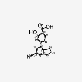 N#Cc1cc2c(c(-c3ccc(C(=O)O)c(O)c3)c1)CCC2